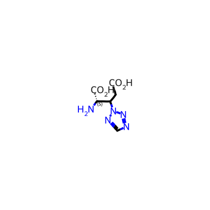 N[C@H](C(=O)O)C(CC(=O)O)n1ncnn1